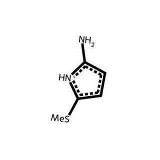 CSc1ccc(N)[nH]1